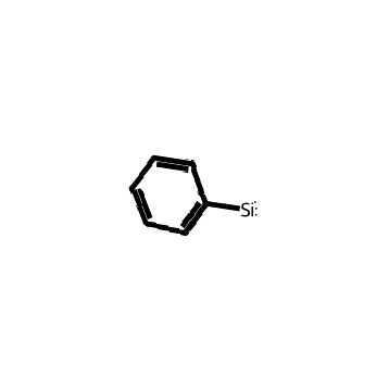 [Si]c1ccccc1